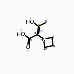 C/C(O)=C(/C(=O)O)N1CCC1